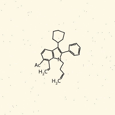 C=CCCn1c(-c2ccccc2)c(C2CCCCC2)c2ccc(C(C)=O)c(C=C)c21